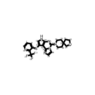 FC(F)(F)c1ncccc1Sc1c[nH]c2nc(N3CCC4(CCOC4)CC3)n3ccnc3c12